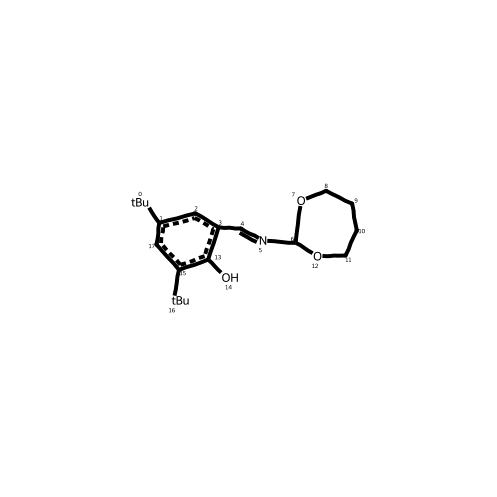 CC(C)(C)c1cc(C=NC2OCCCCO2)c(O)c(C(C)(C)C)c1